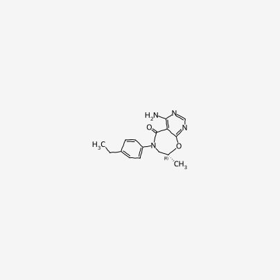 CCc1ccc(N2C[C@@H](C)Oc3ncnc(N)c3C2=O)cc1